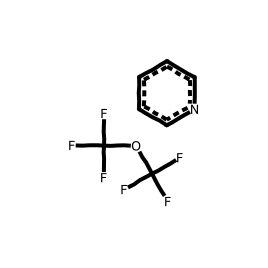 FC(F)(F)OC(F)(F)F.c1ccncc1